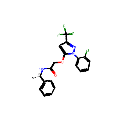 C[C@H](NC(=O)COc1cc(C(F)(F)F)nn1-c1ccccc1Cl)c1ccccc1